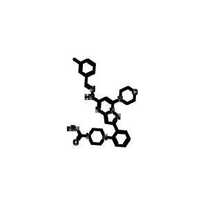 CCCCC(=O)N1CCN(c2ccccc2-c2cc3nc(NN=Cc4cccc(C)c4)cc(N4CCOCC4)n3n2)CC1